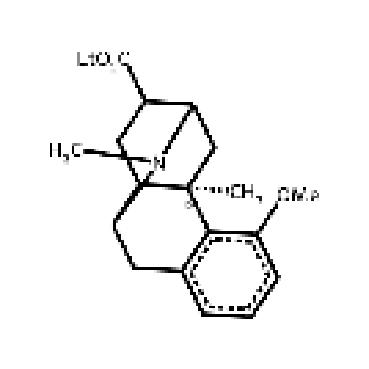 CCOC(=O)C1CC2C3Cc4cccc(OC)c4[C@]2(C)CC1N3C